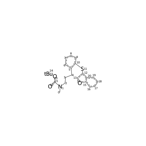 CN(CCCc1ccccc1Sc1coc2ccccc12)C(=O)OC(C)(C)C